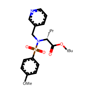 COc1ccc(S(=O)(=O)N(Cc2cccnc2)[C@@H](C(=O)OC(C)(C)C)C(C)C)cc1